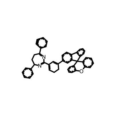 c1cccc(C2=NC(C3=CCCC(c4ccc5c(c4)C4(c6ccccc6Oc6ccccc64)c4ccccc4-5)=C3)=NC(c3ccccc3)CC2)c#1